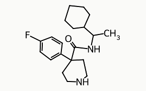 CC(NC(=O)C1(c2ccc(F)cc2)CCNCC1)C1CCCCC1